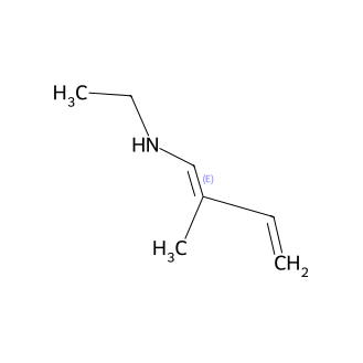 C=C/C(C)=C/NCC